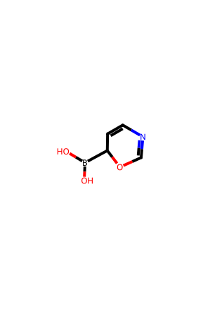 OB(O)C1C=CN=CO1